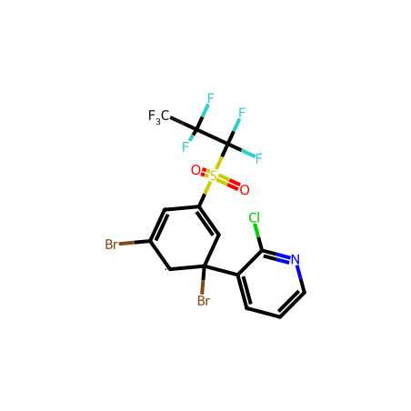 O=S(=O)(C1=CC(Br)(c2cccnc2Cl)[CH]C(Br)=C1)C(F)(F)C(F)(F)C(F)(F)F